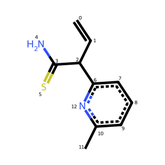 C=CC(C(N)=S)c1cccc(C)n1